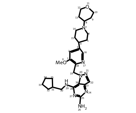 COc1cc(C2CCN(C3CCOCC3)CC2)cnc1Cn1ncc2nc(N)nc(NCC3CCCC3)c21